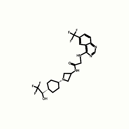 O=C(CNc1ncnc2ccc(C(F)(F)F)cc12)NC1CN([C@H]2CC[C@@H](C(O)C(F)(F)F)CC2)C1